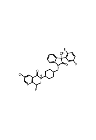 O=C(NC1CCC(CN2C(=O)C(O)(c3cc(F)ccc3F)c3ccccc32)CC1)c1cc(Cl)cnc1C(F)F